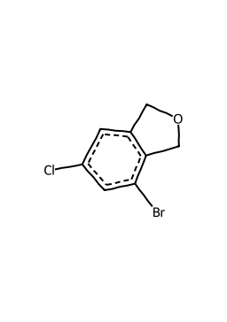 Clc1cc(Br)c2c(c1)COC2